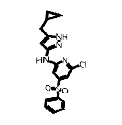 O=S(=O)(c1ccccc1)c1cc(Cl)nc(Nc2cc(CC3CC3)[nH]n2)c1